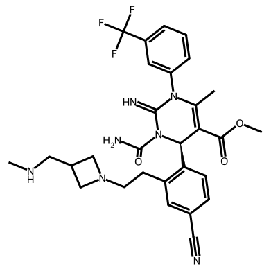 CNCC1CN(CCc2cc(C#N)ccc2[C@@H]2C(C(=O)OC)=C(C)N(c3cccc(C(F)(F)F)c3)C(=N)N2C(N)=O)C1